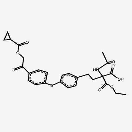 CCOC(=O)C(CCc1ccc(Sc2ccc(C(=O)COC(=O)C3CC3)cc2)cc1)(NC(C)=O)C(=O)O